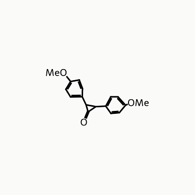 COc1ccc(C2C(=O)C2c2ccc(OC)cc2)cc1